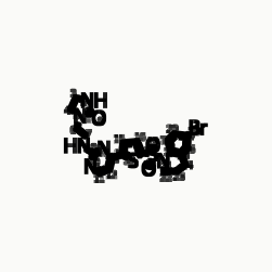 O=C1NCCN1CCNc1nccc(-c2ccc(S(=O)(=O)N3CCCc4cc(Br)ccc43)s2)n1